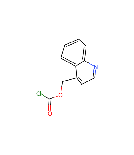 O=C(Cl)OCc1ccnc2ccccc12